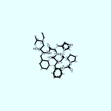 CC[C@@H](C[C@H](O)[C@H](CC1CCCCC1)NC(=O)[C@H](Cc1c[nH]cn1)NC(=O)[C@@H](CC(=O)[C@@H]1CCCN1C(=O)O)Cc1ccccc1)C(C)C